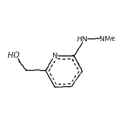 CNNc1cccc(CO)n1